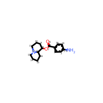 Nc1ccc(C(=O)OC2CCCN3CCCCC23)cc1